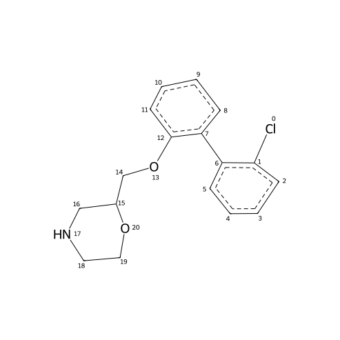 Clc1ccccc1-c1ccccc1OCC1CNCCO1